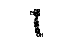 CCC1(CC)C[C@H](CCN2CC3CN(c4ccc(O)cc4)CC3C2)OC1=O